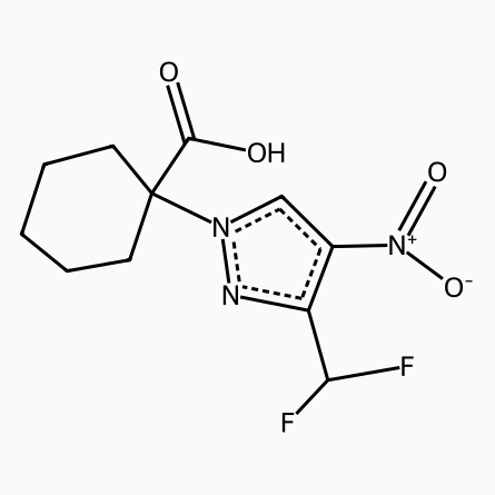 O=C(O)C1(n2cc([N+](=O)[O-])c(C(F)F)n2)CCCCC1